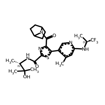 Cc1cc(N[C@@H](C)C(F)(F)F)ncc1-c1sc(C(=O)N[C@@H](C)C(C)(C)O)nc1C(=O)N1C2CCC1CC2